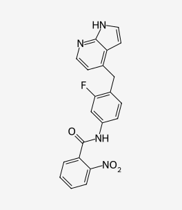 O=C(Nc1ccc(Cc2ccnc3[nH]ccc23)c(F)c1)c1ccccc1[N+](=O)[O-]